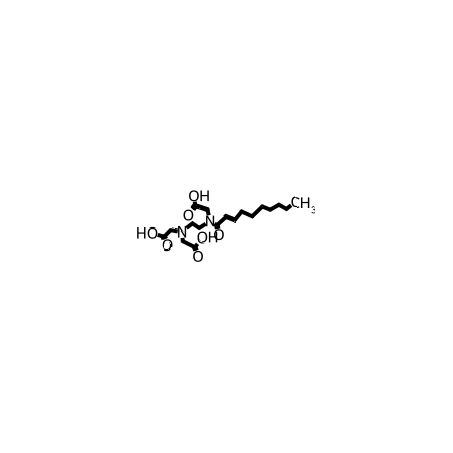 CCCCCCCCCC(=O)N(CCN(CC(=O)O)CC(=O)O)CC(=O)O